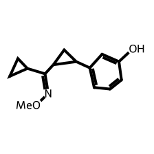 CON=C(C1CC1)C1CC1c1cccc(O)c1